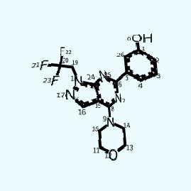 Oc1cccc(-c2nc(N3CCOCC3)c3cnn(CC(F)(F)F)c3n2)c1